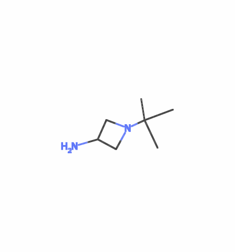 CC(C)(C)N1CC(N)C1